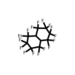 CCC1(F)C2C(C(F)(F)C(F)(F)C(F)(F)C2(F)F)C(F)(F)C(F)(F)C1(F)F